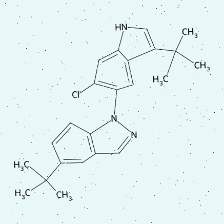 CC(C)(C)c1ccc2c(cnn2-c2cc3c(C(C)(C)C)c[nH]c3cc2Cl)c1